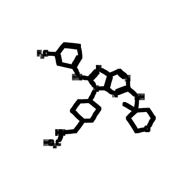 CC1(Nc2ncc3nc(Nc4cccc(C(F)(F)F)c4)n(C4CCC(CNC(=O)O)CC4)c3n2)CCOCC1